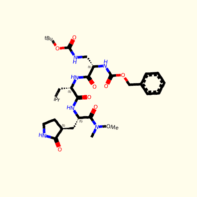 CON(C)C(=O)[C@H](C[C@@H]1CCNC1=O)NC(=O)[C@H](CC(C)C)NC(=O)[C@H](CNC(=O)OC(C)(C)C)NC(=O)OCc1ccccc1